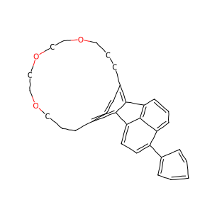 c1ccc(-c2ccc3c4c(cccc24)-c2c4ccc(c2-3)CCCOCCOCCOCCC4)cc1